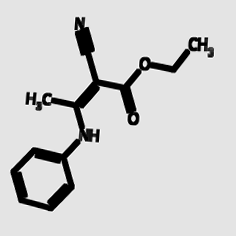 CCOC(=O)C(C#N)=C(C)Nc1ccccc1